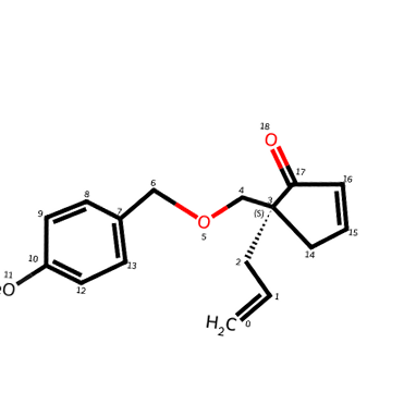 C=CC[C@@]1(COCc2ccc(OC)cc2)CC=CC1=O